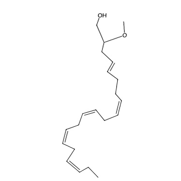 CC/C=C\C/C=C\C/C=C\C/C=C\CC/C=C/CC(CO)OC